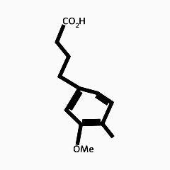 COc1cc(CCCC(=O)O)ccc1C